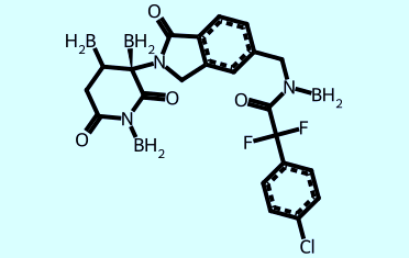 BC1CC(=O)N(B)C(=O)[C@@]1(B)N1Cc2cc(CN(B)C(=O)C(F)(F)c3ccc(Cl)cc3)ccc2C1=O